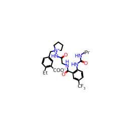 CCc1ccc(C[N+]2(NC(=O)CNC(=O)c3cc(C(F)(F)F)ccc3NC(=O)NC(C)C)CCCC2)cc1C(=O)[O-]